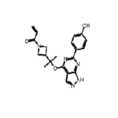 C=CC(=O)N1CC(C(C)(C)Oc2nc(-c3ccc(O)cc3)nc3[nH]ncc23)C1